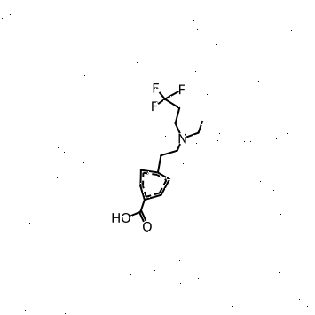 CCN(CCc1ccc(C(=O)O)cc1)CCC(F)(F)F